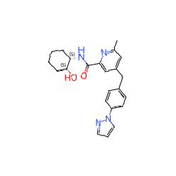 Cc1cc(Cc2ccc(-n3cccn3)cc2)cc(C(=O)N[C@H]2CCCC[C@@H]2O)n1